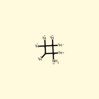 [2H]C1C([2H])([2H])C([2H])([2H])C1([2H])N